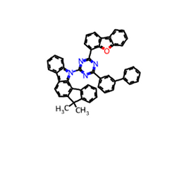 CC1(C)c2ccccc2-c2c1ccc1c3ccccc3n(-c3nc(-c4cccc(-c5ccccc5)c4)nc(-c4cccc5c4oc4ccccc45)n3)c21